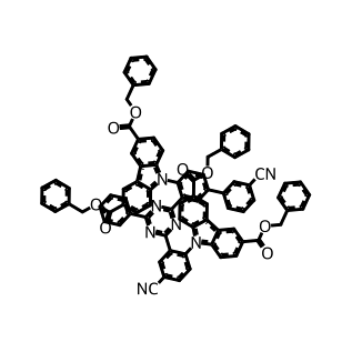 N#Cc1cccc(-c2ccc(-n3c4ccc(C(=O)OCc5ccccc5)cc4c4cc(C(=O)OCc5ccccc5)ccc43)c(-c3nc(-c4ccccc4)nc(-c4cc(C#N)ccc4-n4c5ccc(C(=O)OCc6ccccc6)cc5c5cc(C(=O)OCc6ccccc6)ccc54)n3)c2)c1